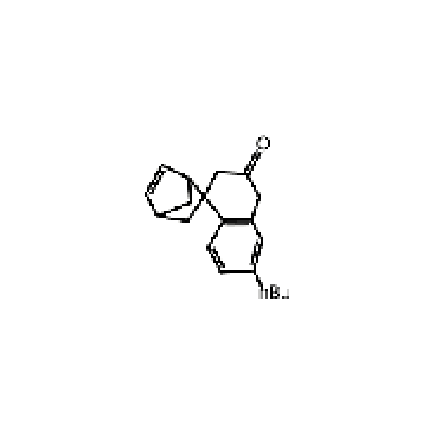 CCCCc1ccc2c(c1)CC(=O)CC21CC2C=CC1C2